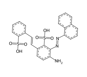 Nc1ccc(C=Cc2ccccc2S(=O)(=O)O)c(S(=O)(=O)O)c1N=Nc1cccc2ccccc12